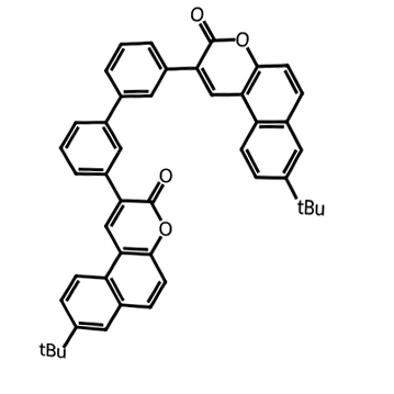 CC(C)(C)c1ccc2c(ccc3oc(=O)c(-c4cccc(-c5cccc(-c6cc7c(ccc8cc(C(C)(C)C)ccc87)oc6=O)c5)c4)cc32)c1